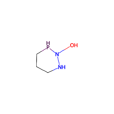 ON1NCCCP1